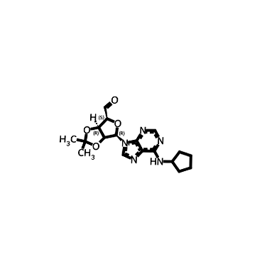 CC1(C)OC2[C@@H](O1)[C@@H](C=O)O[C@H]2n1cnc2c(NC3CCCC3)ncnc21